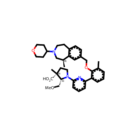 COC[C@H]1N(c2cccc(-c3cccc(C)c3OCc3ccc4c(c3)[C@@H](C)CN(C3CCOCC3)CC4)n2)CC[C@@]1(C)C(=O)O